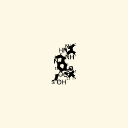 Cc1n[nH]c(Nc2ccnc3cc(OC[C@H](C)O)c(S(=O)(=O)C(C)(C)C)cc23)c1C